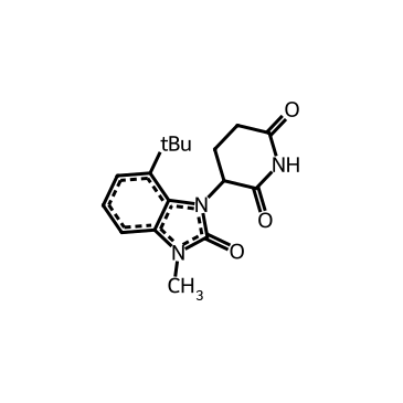 Cn1c(=O)n(C2CCC(=O)NC2=O)c2c(C(C)(C)C)cccc21